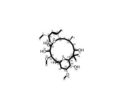 CC[C@H](/C=C(/C)[C@@H]1C[C@@H](C)CC(O)C(C)(C)[C@@]2(O)O[C@@H](C[C@@H](OC)C(O)C(=O)O1)C[C@@H](OC)[C@H]2O)CO